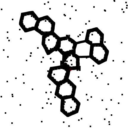 c1ccc(-c2nc(-c3ccc4ccccc4c3)nc(-c3cccc4cccc(-c5nc(-c6ccccc6)nc(-c6ccc7ccccc7c6)n5)c34)n2)cc1